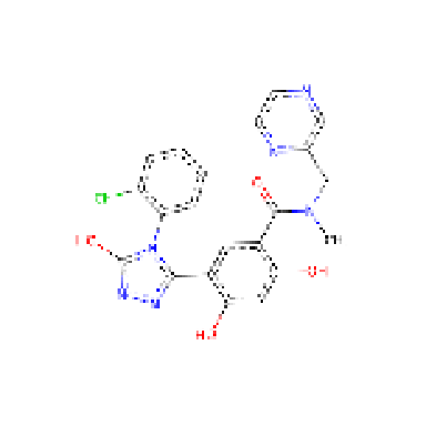 CN(Cc1cnccn1)C(=O)c1cc(-c2nnc(O)n2-c2ccccc2Cl)c(O)cc1O